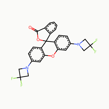 O=C1OC2(c3ccc(N4CC(F)(F)C4)cc3Oc3cc(N4CC(F)(F)C4)ccc32)c2ccccc21